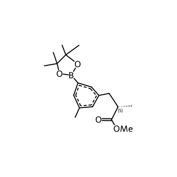 COC(=O)[C@@H](C)Cc1cc(C)cc(B2OC(C)(C)C(C)(C)O2)c1